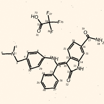 CN(C)Cc1ccc(NC(=C2C(=O)Nc3cc(C(N)=O)ccc32)c2ccccc2)cc1.O=C(O)C(F)(F)F